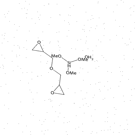 C(OCC1CO1)C1CO1.CO[SiH](OC)OC.O